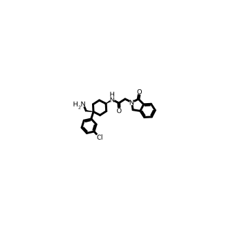 NC[C@]1(c2cccc(Cl)c2)CC[C@H](NC(=O)CN2Cc3ccccc3C2=O)CC1